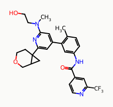 Cc1ccc(NC(=O)c2ccnc(C(F)(F)F)c2)cc1-c1cc(N(C)CCO)nc(C23CCOCC2C3)c1